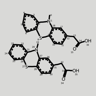 CN1c2ccccc2Sc2ccc(CC(=O)O)cc21.CN1c2ccccc2Sc2ccc(CC(=O)O)cc21